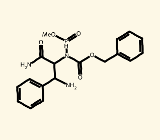 CO[PH](=O)N(C(=O)OCc1ccccc1)C(C(N)=O)C(N)c1ccccc1